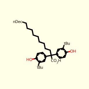 CCCCCCCCCCCCCCCCCCCC(C(=O)O)(c1ccc(O)c(C(C)(C)C)c1)c1ccc(O)c(C(C)(C)C)c1